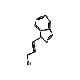 BrC/C=C/C1C=Cc2c[c]ccc21